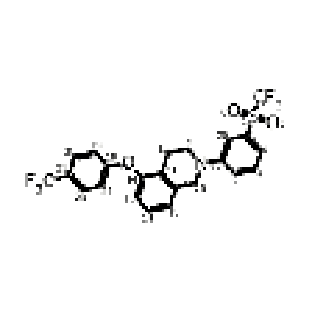 O=S(=O)(c1cccc(N2CCc3c(cccc3Oc3ccc(C(F)(F)F)cc3)C2)c1)C(F)(F)F